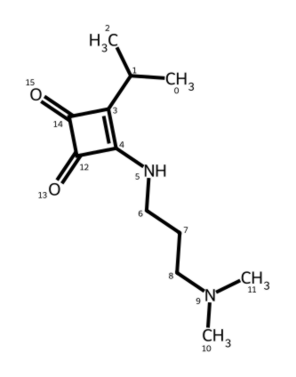 CC(C)c1c(NCCCN(C)C)c(=O)c1=O